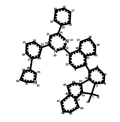 CC1(C)c2cccc(-c3ccc(-c4nc(-c5ccccc5)cc(-c5cccc(-c6cccnc6)c5)n4)c4ccccc34)c2-c2ccc3ccccc3c21